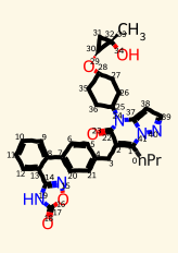 CCCc1c(Cc2ccc(-c3ccccc3-c3noc(=O)[nH]3)cc2)c(=O)n(C2CCC(O[C@@H]3C[C@]3(C)O)CC2)c2ccnn12